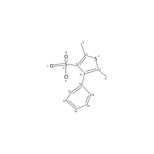 Cc1sc(C)c(S(=O)(=O)Cl)c1-c1ccccc1